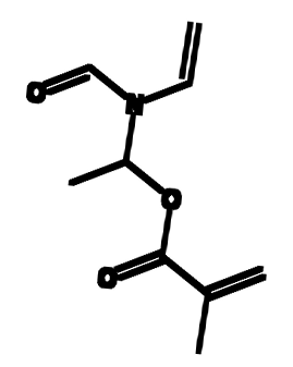 C=CN(C=O)C(C)OC(=O)C(=C)C